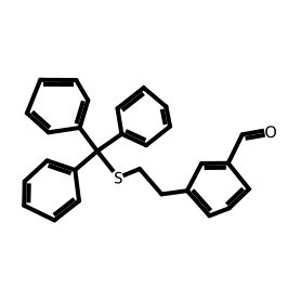 O=Cc1cccc(CCSC(c2ccccc2)(c2ccccc2)c2ccccc2)c1